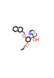 C=CCOc1cc(OCc2ccc3ccccc3c2)cc(C(O)(CC)c2nccs2)c1